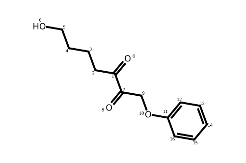 O=C(CCCCO)C(=O)COc1ccccc1